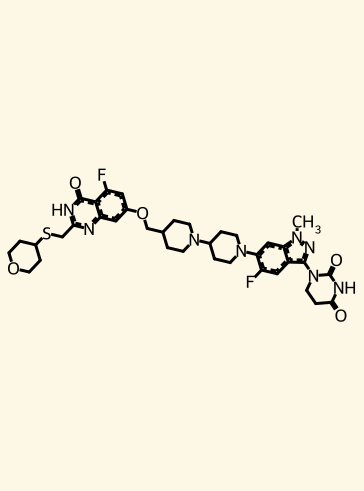 Cn1nc(N2CCC(=O)NC2=O)c2cc(F)c(N3CCC(N4CCC(COc5cc(F)c6c(=O)[nH]c(CSC7CCOCC7)nc6c5)CC4)CC3)cc21